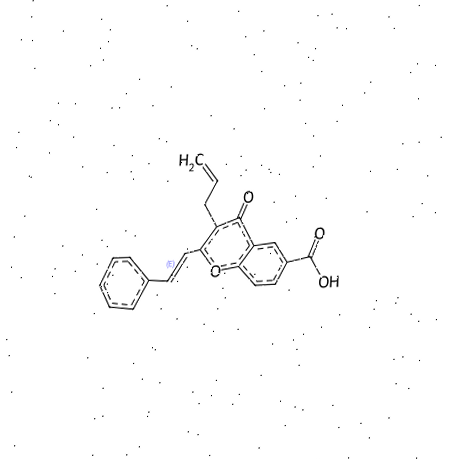 C=CCc1c(/C=C/c2ccccc2)oc2ccc(C(=O)O)cc2c1=O